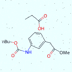 CCC(=O)O.CCCCOC(=O)Nc1cccc(CC(=O)OC)c1